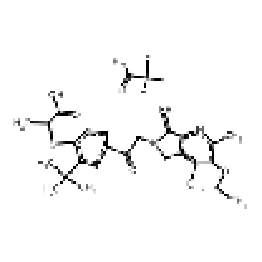 CCOc1c(C)nc2c(c1C)CN(CC(=O)c1ccc(OC(C)C(=O)O)c(C(C)(C)C)c1)C2=N.O=C(O)C(F)(F)F